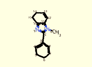 Cn1c(C2=CCCC=C2)nc2c1C=CCC2